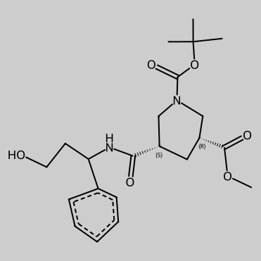 COC(=O)[C@@H]1C[C@H](C(=O)NC(CCO)c2ccccc2)CN(C(=O)OC(C)(C)C)C1